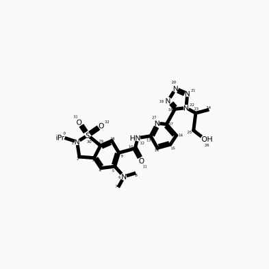 CC(C)N1Cc2cc(N(C)C)c(C(=O)Nc3cccc(-c4nnnn4C(C)CO)n3)cc2S1(=O)=O